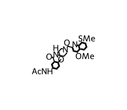 COc1cc(C(=O)N2CCC3(CC2)NC(=O)c2cc(NC(C)=O)ccc2O3)nc2c(SC)cccc12